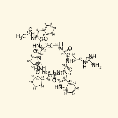 CC(=O)N[C@@H](Cc1ccccc1)C(=O)N[C@H]1CCCNC(=O)[C@H](CCCNC(=N)N)NC(=O)[C@@H](Cc2c[nH]c3ccccc23)NC(=O)[C@@H](CC2CCCCC2)NC(=O)[C@@H]2CCCN2C1=O